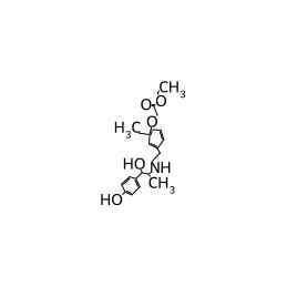 CCOC(=O)COc1ccc(CCN[C@@H](C)[C@H](O)c2ccc(O)cc2)cc1CC